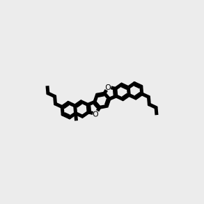 CCCCC1=CC2=Cc3c(oc4cc5c(cc34)oc3cc4ccc(CCCC)cc4cc35)CC2(C)C=C1